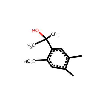 Cc1cc(C(=O)O)c(C(O)(C(F)(F)F)C(F)(F)F)cc1C